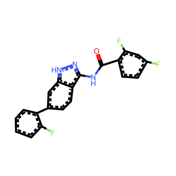 O=C(Nc1n[nH]c2cc(-c3ccccc3F)ccc12)c1ccc(F)cc1F